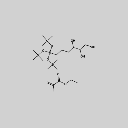 C=C(C)C(=O)OCC.C[Si](C)(C)O[Si](CCCC(O)C(O)CO)(O[Si](C)(C)C)O[Si](C)(C)C